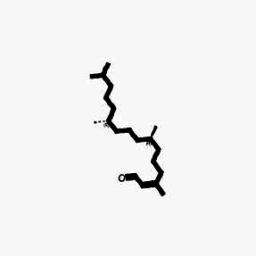 CC(=CC=O)CCC[C@H](C)CCC[C@H](C)CCCC(C)C